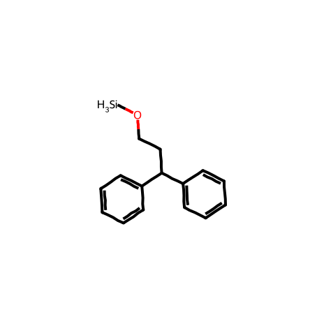 [SiH3]OCCC(c1ccccc1)c1ccccc1